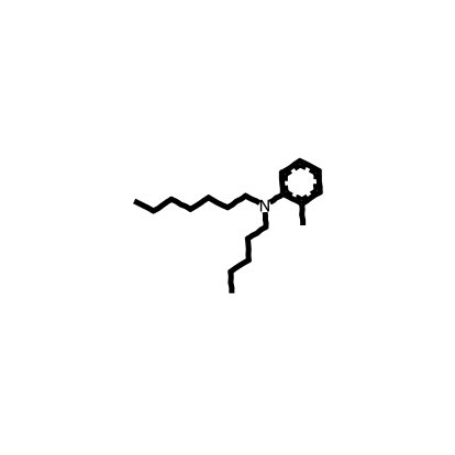 CCCCCCCN(CCCCC)c1ccccc1C